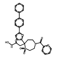 O=C(CC1(c2ccc(-c3ccc(-c4ccccc4)cc3)s2)CCN(C(=O)c2ccccn2)CCS1(=O)=O)NO